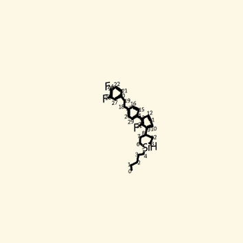 CCCCC[SiH]1CCC(c2cccc(-c3ccc(CCc4ccc(F)c(F)c4)cc3)c2F)CC1